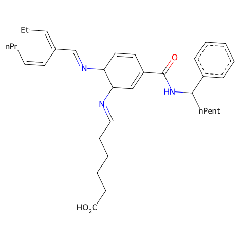 CC/C=C(\C=C/CCC)/C=N/C1C=CC(C(=O)NC(CCCCC)c2ccccc2)=CC1/N=C/CCCCC(=O)O